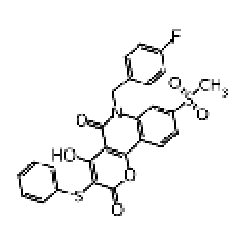 CS(=O)(=O)c1ccc2c3oc(=O)c(Sc4ccccc4)c(O)c3c(=O)n(Cc3ccc(F)cc3)c2c1